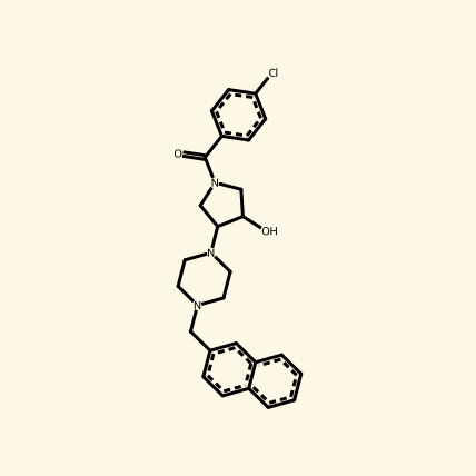 O=C(c1ccc(Cl)cc1)N1CC(O)C(N2CCN(Cc3ccc4ccccc4c3)CC2)C1